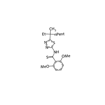 CCCCCC(C)(CC)c1nnc(NC(=S)c2c(OC)cccc2OC)s1